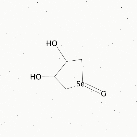 O=[Se]1CC(O)C(O)C1